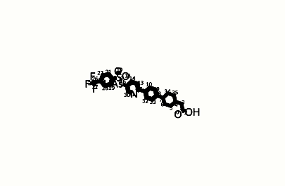 O=C(O)CC1CCC(c2ccc(-c3ccc([AsH]S(=O)(=O)c4ccc(C(F)(F)F)cc4)cn3)cc2)CC1